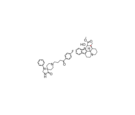 CC[C@]12CCCN3CCc4c(n(c5ccccc45)[C@@](O)(C(=O)OC)C1)[C@@H]32.O=C(CCCN1CCC2(CC1)C(=O)NCN2c1ccccc1)c1ccc(F)cc1